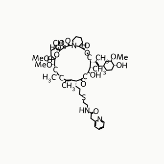 CO[C@H]1C[C@@H](C)C/C(C)=C/[C@@H](CCCSCCNC(=O)Cc2ccccn2)C(=O)C[C@H](O)[C@@H](C)[C@@H](/C(C)=C/[C@@H]2CC[C@@H](O)[C@H](OC)C2)COC(=O)[C@@H]2CCCCN2C(=O)C(=O)[C@]2(O)O[C@H]1[C@@H](OC)C[C@H]2C